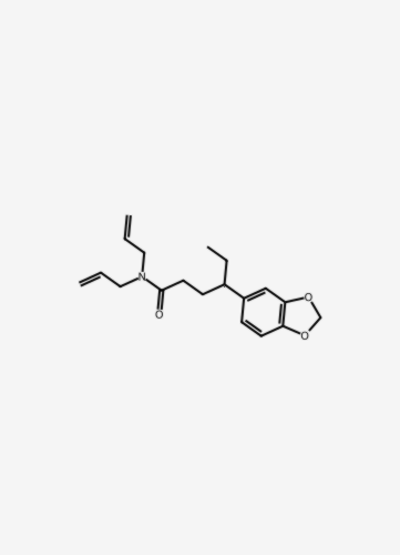 C=CCN(CC=C)C(=O)CC[C](CC)c1ccc2c(c1)OCO2